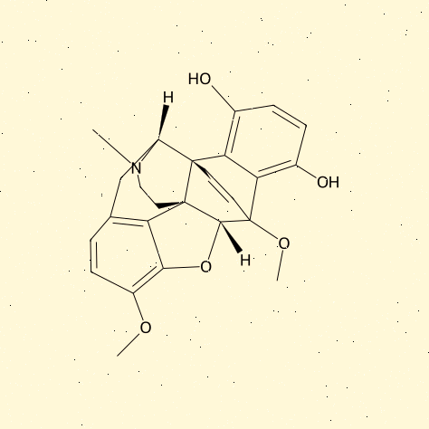 COc1ccc2c3c1O[C@H]1C4(OC)C=C[C@]5(c6c(O)ccc(O)c64)[C@@H](C2)N(C)CC[C@]315